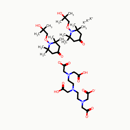 CC(C)(O)CON1C(C)(C)CC(=O)CC1(C)C.CC(C)(O)CON1C(C)(C)CC(=O)CC1(C)C.O=C([O-])CN(CCN(CCN(CC(=O)[O-])CC(=O)O)CC(=O)O)CC(=O)[O-].[K+].[K+].[K+]